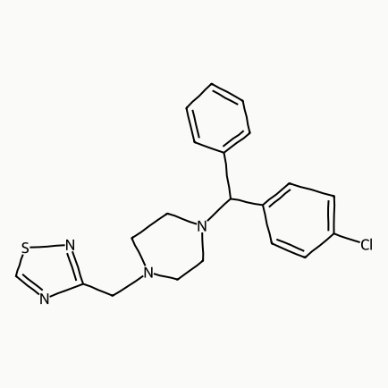 Clc1ccc(C(c2ccccc2)N2CCN(Cc3ncsn3)CC2)cc1